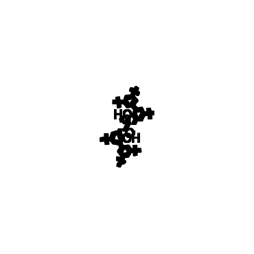 CO[C@H](Cc1cc(C(C)(C)C)cc(-c2cc(C(C)(C)C)cc(C(C)(C)C)c2)c1O)[C@@H](Cc1cc(C(C)(C)C)cc(-c2cc(C(C)(C)C)cc(C(C)(C)C)c2)c1O)OC